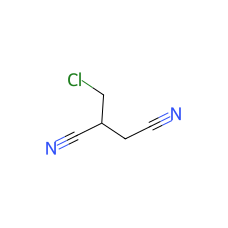 N#CCC(C#N)CCl